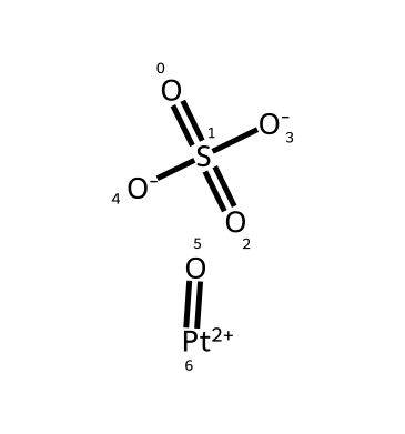 O=S(=O)([O-])[O-].[O]=[Pt+2]